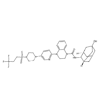 O=C(NC1[C@@H]2CC3C[C@H]1CC(O)(C3)C2)N1CCN(c2ccc(N3CCN(S(=O)(=O)CCC(F)(F)F)CC3)cn2)c2ccccc21